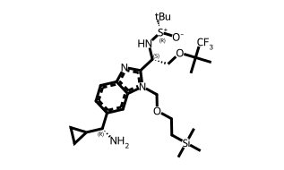 CC(C)(C)[S@+]([O-])N[C@H](COC(C)(C)C(F)(F)F)c1nc2ccc([C@H](N)C3CC3)cc2n1COCC[Si](C)(C)C